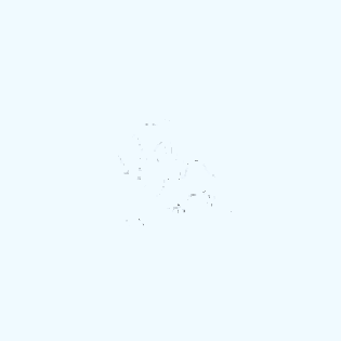 CC(=O)Nc1ccc2c(C)cc[n+](C)c2n1.Cc1ccc(S(=O)(=O)[O-])cc1